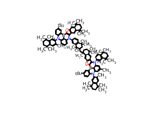 Cc1cc2c3c(c1)N(c1ccc4c(c1)C(C)(C)CCC4(C)C)c1c(oc4cc5c(cc14)C(C)(C)CCC5(C)CC1CC(C)(C)c4ccc(N5c6cccc7c6B(c6cc(C(C)(C)C)ccc6N7c6cc7c(cc6C)C(C)(C)CCC7(C)C)c6oc7cc8c(cc7c65)C(C)(C)CCC8(C)C)cc4C1(C)C)B3c1cc(C(C)(C)C)ccc1N2c1cc2c(cc1C)C(C)(C)CCC2(C)C